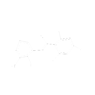 N/C(=C\c1cccc(Cl)c1F)c1c(F)cc(Cl)cc1F